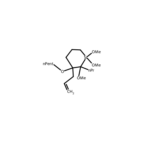 C=CCC1(OCCCCC)CCC[Si](OC)(OC)C1(CCC)OC